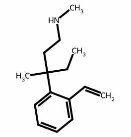 C=Cc1ccccc1C(C)(CC)CCNC